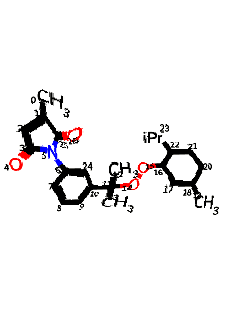 CC1=CC(=O)N(c2cccc(C(C)(C)OOC3CC(C)CCC3C(C)C)c2)C1=O